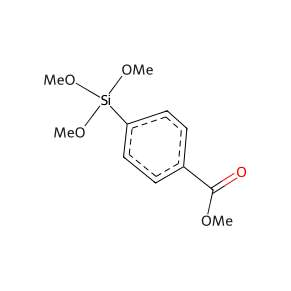 COC(=O)c1ccc([Si](OC)(OC)OC)cc1